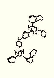 c1ccc(-c2cc(-c3cccc4ccccc34)nc(-c3ccc(Oc4ccc(-c5nc(-c6ccccc6)cc(-c6cccc7ccccc67)n5)cc4)cc3)n2)cc1